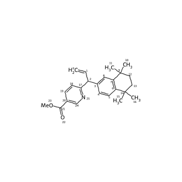 C=CC(c1ccc2c(c1)C(C)(C)CCC2(C)C)c1ccc(C(=O)OC)cn1